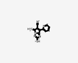 C=c1c(C#N)c(-c2ccccn2)c2nc(S)nn12